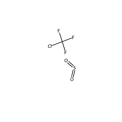 FC(F)(F)Cl.O=S=O